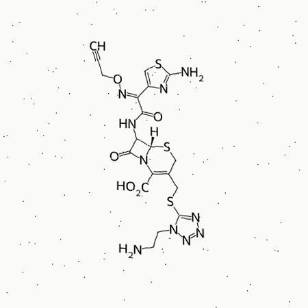 C#CCON=C(C(=O)NC1C(=O)N2C(C(=O)O)=C(CSc3nnnn3CCN)CS[C@@H]12)c1csc(N)n1